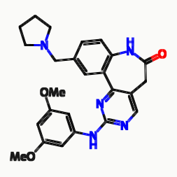 COc1cc(Nc2ncc3c(n2)-c2cc(CN4CCCC4)ccc2NC(=O)C3)cc(OC)c1